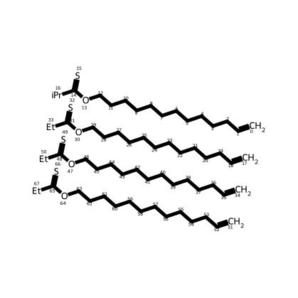 C=CCCCCCCCCCCCOC(=S)C(C)C.C=CCCCCCCCCCCCOC(=S)CC.C=CCCCCCCCCCCCOC(=S)CC.C=CCCCCCCCCCCCOC(=S)CC